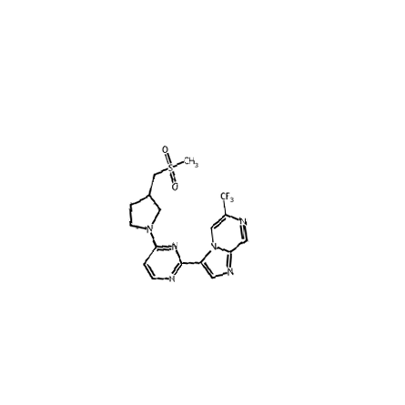 CS(=O)(=O)CC1CCN(c2ccnc(-c3cnc4cnc(C(F)(F)F)cn34)n2)C1